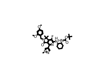 COc1ccc(CN2C(=O)c3c(-c4cnn(C)c4)nc(N[C@@H]4CCCC[C@@H]4NC(=O)OC(C)(C)C)c(F)c3C2(C)C)c(OC)c1